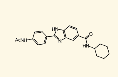 CC(=O)Nc1ccc(-c2nc3cc(C(=O)NC4CCCCC4)ccc3[nH]2)cc1